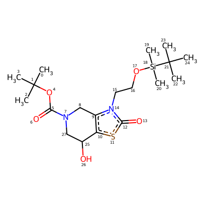 CC(C)(C)OC(=O)N1Cc2c(sc(=O)n2CCO[Si](C)(C)C(C)(C)C)C(O)C1